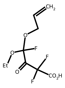 C=CCOC(F)(OCC)C(=O)C(F)(F)C(=O)O